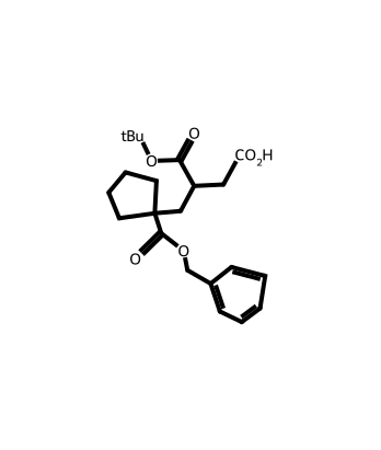 CC(C)(C)OC(=O)C(CC(=O)O)CC1(C(=O)OCc2ccccc2)CCCC1